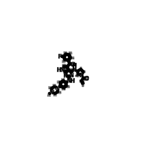 C=CC(=O)N1CC[C@H](Nc2nc(Nc3ccc(N4CCN(C)CC4)cc3)nc3[nH]cc(C(=O)c4cccc(F)c4)c23)C1